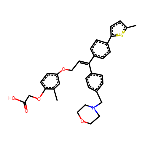 Cc1ccc(-c2ccc(/C(=C/COc3ccc(OCC(=O)O)c(C)c3)c3ccc(CN4CCOCC4)cc3)cc2)s1